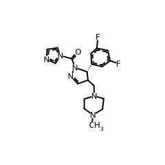 CN1CCN(CC2C=NN(C(=O)n3ccnc3)[C@@H]2c2cc(F)cc(F)c2)CC1